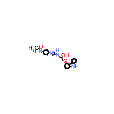 CC(=O)Nc1ccc(N2CC(NC[C@H](O)COc3cccc4[nH]c5ccccc5c34)C2)cc1